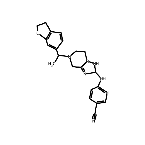 CC(c1ccc2c(c1)OCC2)N1CCN2NC(Nc3ccc(C#N)cn3)N=C2C1